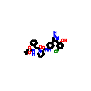 CC(C)(C)OC(=O)N[C@@H](C(=O)N1CCCC[C@H]1C(=O)Nc1ccc(-c2c[nH]nc2-c2cc(Cl)ccc2O)cc1)c1ccccc1